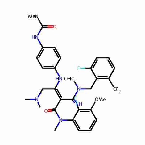 CNC(=O)Nc1ccc(N/C(CN(C)C)=C(\C(=N)N(C=O)Cc2c(F)cccc2C(F)(F)F)C(=O)N(C)c2cccc(OC)c2F)cc1